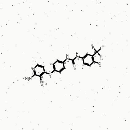 Nc1nccc(Oc2ccc(NC(=O)Nc3ccc(Cl)c(C(F)(F)F)c3)cc2)c1N